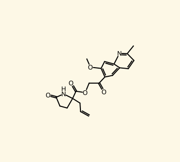 C=CCC1(C(=O)OCC(=O)c2cc3ccc(C)nc3cc2OC)CCC(=O)N1